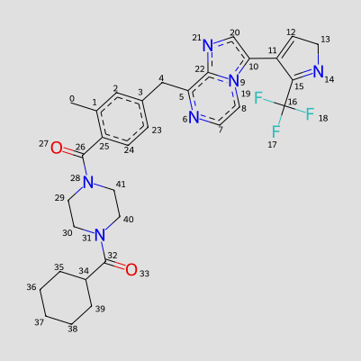 Cc1cc(Cc2nccn3c(C4=CCN=C4C(F)(F)F)cnc23)ccc1C(=O)N1CCN(C(=O)C2CCCCC2)CC1